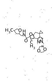 Cc1c(C(=O)NCC2CC(C)CO2)oc2c1-c1nn(C[C@H]3COCCO3)cc1C1(CC1)C2